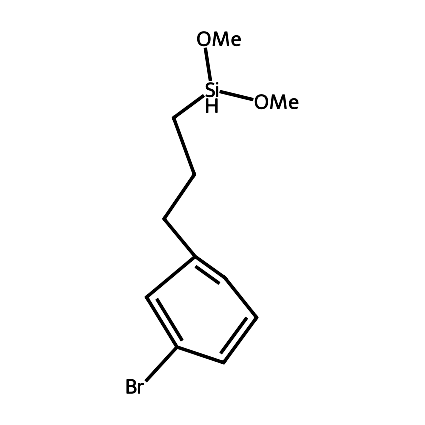 CO[SiH](CCCc1cccc(Br)c1)OC